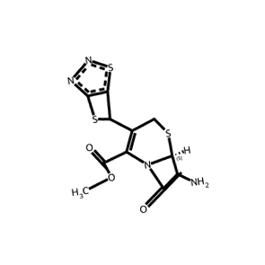 COC(=O)C1=C(C2Sc3nnsc32)CS[C@H]2C(N)C(=O)N12